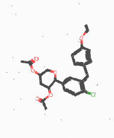 CCOc1ccc(Cc2cc(C3OCC(OC(C)=O)CC3OC(C)=O)ccc2Cl)cc1